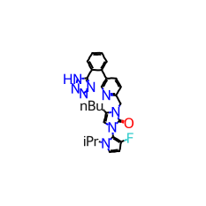 CCCCc1cn(-c2c(F)ccn2C(C)C)c(=O)n1Cc1ccc(-c2ccccc2-c2nnn[nH]2)cn1